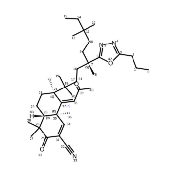 CCCc1nnc([C@@](C)(CCC(C)(C)CC)CCC(C)(C)[C@]2(C)CC[C@H]3C(C)(C)C(=O)C(C#N)=C[C@]3(C)/C2=C/C(C)=O)o1